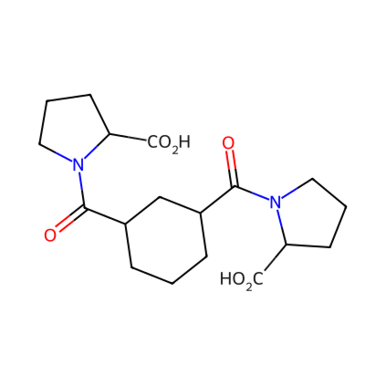 O=C(O)C1CCCN1C(=O)C1CCCC(C(=O)N2CCCC2C(=O)O)C1